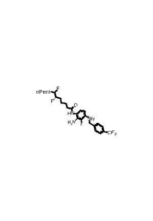 CCCCCC(F)[C@@H](F)CCCCC(=O)Nc1ccc(NCc2ccc(C(F)(F)F)cc2)c(F)c1N